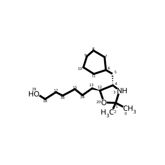 CC1(C)N[C@@H](CC2CCCCC2)[C@H](CCCCCCO)O1